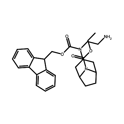 CCOC(=O)N1C2CCC1CC(N(CCN)C(=O)OCC1c3ccccc3-c3ccccc31)C2